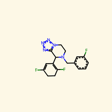 FC1=CC(C2c3nnnn3CCN2Cc2cccc(F)c2)=C(F)CC1